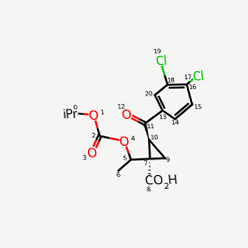 CC(C)OC(=O)OC(C)[C@]1(C(=O)O)C[C@@H]1C(=O)c1ccc(Cl)c(Cl)c1